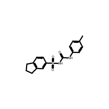 Cc1ccc(NC(=O)NS(=O)(=O)c2ccc3c(c2)CCC3)cc1